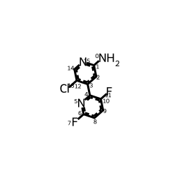 Nc1cc(-c2nc(F)ccc2F)c(Cl)cn1